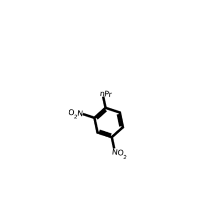 [CH2]CCc1ccc([N+](=O)[O-])cc1[N+](=O)[O-]